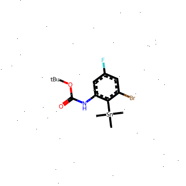 CC(C)(C)OC(=O)Nc1cc(F)cc(Br)[c]1[Sn]([CH3])([CH3])[CH3]